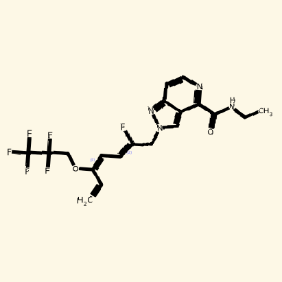 C=C/C(=C\C=C(/F)Cn1cc2c(C(=O)NCC)nccc2n1)OCC(F)(F)C(F)(F)F